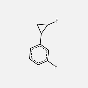 Fc1[c]ccc(C2CC2F)c1